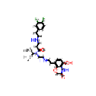 CCCC[C@@H](C)N(CCNCCc1ccc(O)c2c1OCC(=O)N2)C(=O)CCNCCc1ccc(F)c(F)c1